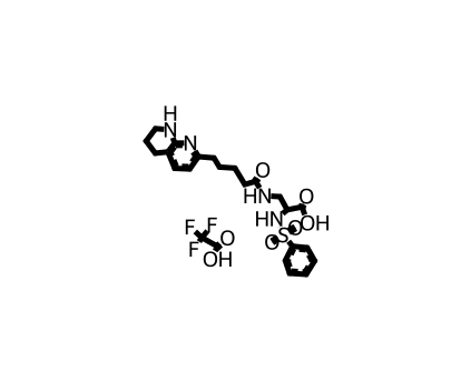 O=C(CCCCc1ccc2c(n1)NCCC2)NCC(NS(=O)(=O)c1ccccc1)C(=O)O.O=C(O)C(F)(F)F